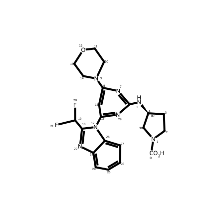 O=C(O)N1CC[C@H](Nc2nc(N3CCOCC3)cc(-n3c(C(F)F)nc4ccccc43)n2)C1